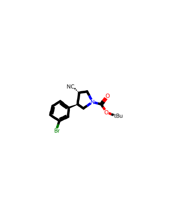 CC(C)(C)OC(=O)N1C[C@@H](C#N)[C@H](c2cccc(Br)c2)C1